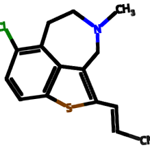 CN1CCc2c(Cl)ccc3sc(/C=C/C#N)c(c23)C1